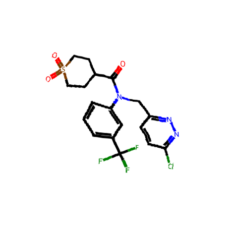 O=C(C1CCS(=O)(=O)CC1)N(Cc1ccc(Cl)nn1)c1cccc(C(F)(F)F)c1